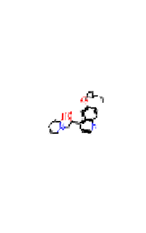 COc1ccc2nccc([C@@H](O)CN3CCCCC3)c2c1